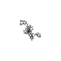 O=C(C=Cc1ccc(Br)c(Br)c1)NC1(C(=O)NC2(C(=O)N[C@H](Cc3ccccc3)C(=O)NCCCN3CCOCC3)CCCC2)CCCC1